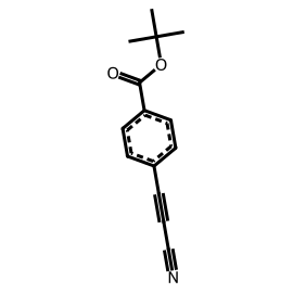 CC(C)(C)OC(=O)c1ccc(C#CC#N)cc1